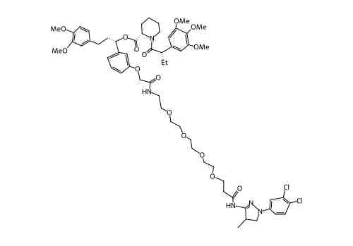 CC[C@H](C(=O)N1CCCC[C@H]1C(=O)O[C@@H](CCc1ccc(OC)c(OC)c1)c1cccc(OCC(=O)NCCOCCOCCOCCOCCC(=O)NC2=NN(c3ccc(Cl)c(Cl)c3)CC2C)c1)c1cc(OC)c(OC)c(OC)c1